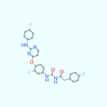 O=C(Cc1ccc(F)cc1)NC(=O)Nc1ccc(Oc2ccnc(Nc3ccc(F)cc3)n2)c(F)c1